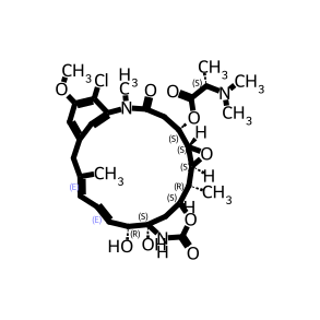 COc1cc2cc(c1Cl)N(C)C(=O)C[C@H](OC(=O)[C@H](C)N(C)C)[C@@H]1O[C@H]1[C@H](C)[C@@H]1C[C@@](O)(NC(=O)O1)[C@H](O)/C=C/C=C(\C)C2